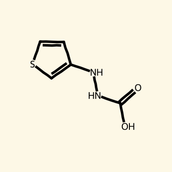 O=C(O)NNc1ccsc1